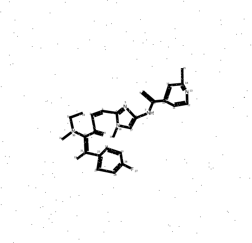 C=C(/C=C\c1nc(NC(=C)c2ccnc(C)c2)cn1C)/C(=C(/C)c1ccc(F)cc1)N(C)CC